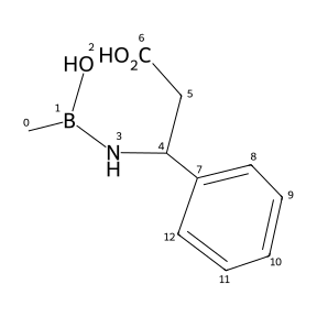 CB(O)NC(CC(=O)O)c1ccccc1